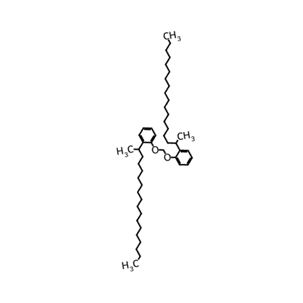 CCCCCCCCCCCCCCCCC(C)c1ccccc1OCOc1ccccc1C(C)CCCCCCCCCCCCCCCC